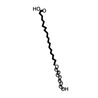 O=C(O)CCCCCCCCCCCCCCCCCCCOOOOOOOOO